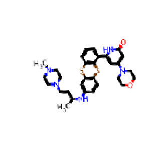 CC(CCN1CCN(C)CC1)Nc1ccc2c(c1)Sc1cccc(-c3cc(N4CCOCC4)cc(=O)[nH]3)c1S2